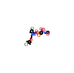 Cc1cc(OCCCn2nc(C(=O)NS(=O)(=O)c3ccc(NCC4CCCO4)c([N+](=O)[O-])c3)c3cc(Cl)ccc32)cc(C)c1Cl